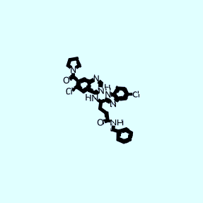 O=C(CCC(Nc1ncnc2cc(C(=O)N3CCCC3)c(Cl)cc12)c1nc2cc(Cl)ccc2[nH]1)NCc1ccccc1